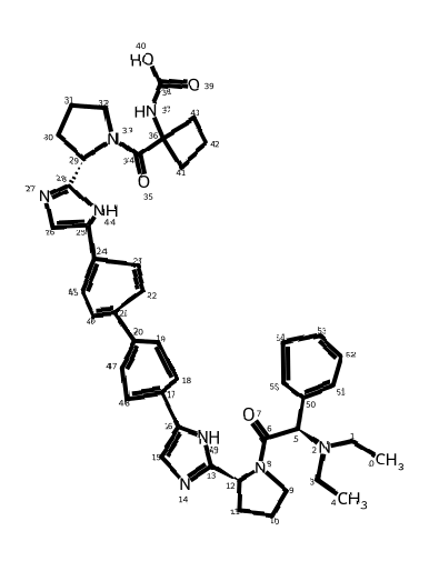 CCN(CC)[C@@H](C(=O)N1CCC[C@H]1c1ncc(-c2ccc(-c3ccc(-c4cnc([C@@H]5CCCN5C(=O)C5(NC(=O)O)CCC5)[nH]4)cc3)cc2)[nH]1)c1ccccc1